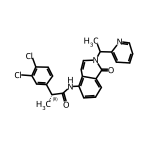 CC(c1ccccn1)n1ccc2c(NC(=O)[C@H](C)c3ccc(Cl)c(Cl)c3)cccc2c1=O